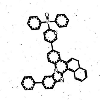 O=P(c1ccccc1)(c1ccccc1)c1ccc(-c2ccc3c(c2)c2c(c4nc5ccc(-c6ccccc6)cc5n43)=C3C=CC=CC3CC=2)cn1